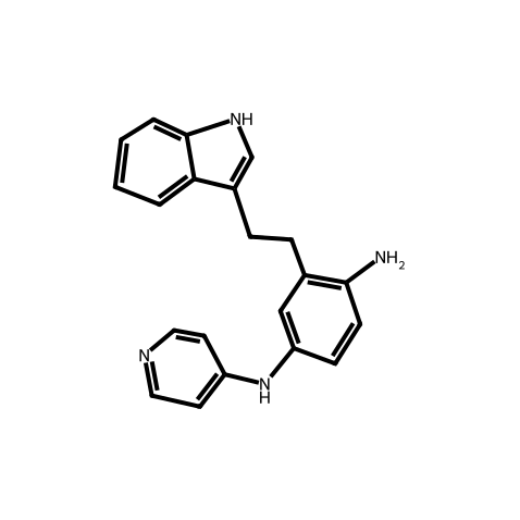 Nc1ccc(Nc2ccncc2)cc1CCc1c[nH]c2ccccc12